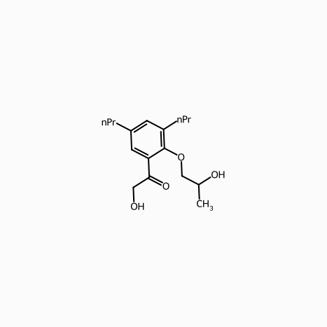 CCCc1cc(CCC)c(OCC(C)O)c(C(=O)CO)c1